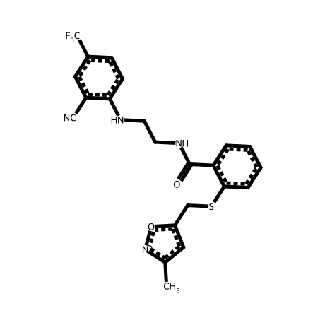 Cc1cc(CSc2ccccc2C(=O)NCCNc2ccc(C(F)(F)F)cc2C#N)on1